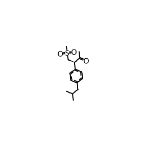 CC(=O)[C@H](CS(C)(=O)=O)c1ccc(CC(C)C)cc1